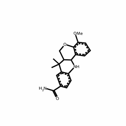 COc1cccc2c1OCC1C2Nc2ccc(C(N)=O)cc2C1(C)C